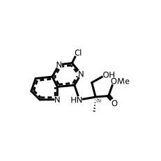 COC(=O)[C@](C)(CO)Nc1nc(Cl)nc2cccnc12